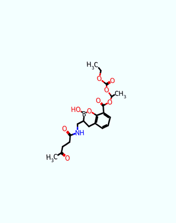 CCOC(=O)OC(C)OC(=O)c1cccc2c1OB(O)C(CNC(=O)CCC(C)=O)C2